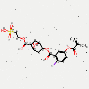 C=C(C)C(=O)Oc1ccc(I)c(C(=O)OC2CC3OC2CC3C(=O)OCCS(=O)(=O)O)c1